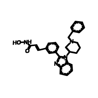 O=C(C=Cc1cccc(-c2nc3ccccc3n2C2CCCN(Cc3ccccc3)C2)c1)NO